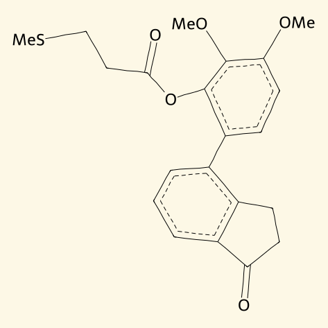 COc1ccc(-c2cccc3c2CCC3=O)c(OC(=O)CCSC)c1OC